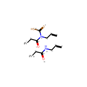 C=CCN(C(=O)CC(C)C)C(=S)S.C=CCNC(=O)CC(C)C